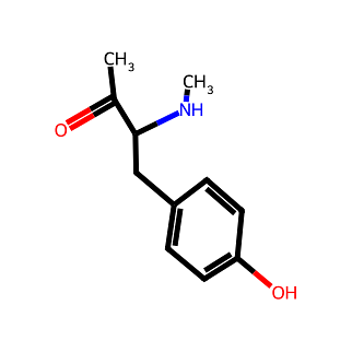 CNC(Cc1ccc(O)cc1)C(C)=O